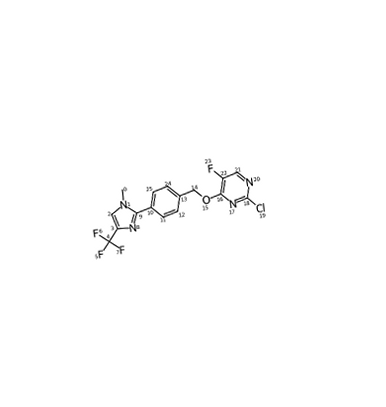 Cn1cc(C(F)(F)F)nc1-c1ccc(COc2nc(Cl)ncc2F)cc1